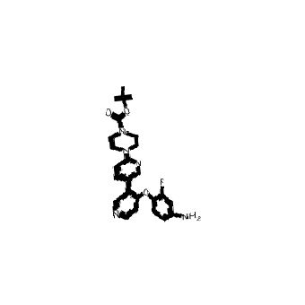 CC(C)(C)OC(=O)N1CCN(c2ccc(-c3cnccc3Oc3ccc(N)cc3F)cn2)CC1